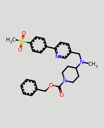 CN(Cc1ccc(-c2ccc(S(C)(=O)=O)cc2)nc1)C1CCN(C(=O)OCc2ccccc2)CC1